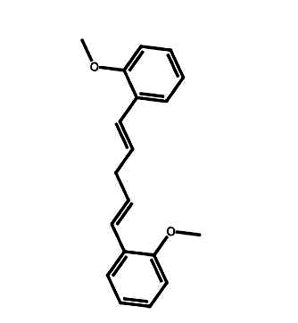 COc1ccccc1/C=C/C/C=C/c1ccccc1OC